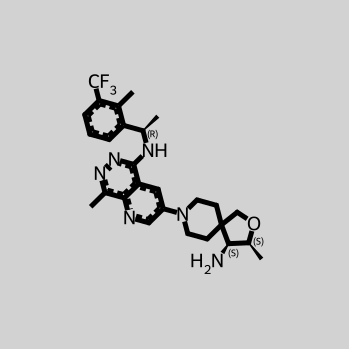 Cc1c([C@@H](C)Nc2nnc(C)c3ncc(N4CCC5(CC4)CO[C@@H](C)[C@H]5N)cc23)cccc1C(F)(F)F